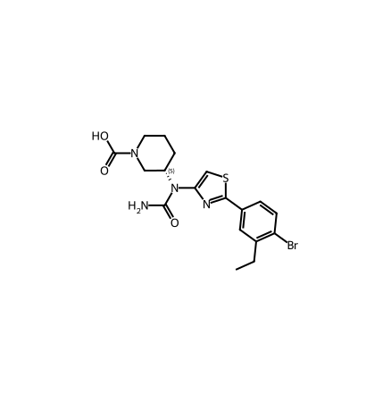 CCc1cc(-c2nc(N(C(N)=O)[C@H]3CCCN(C(=O)O)C3)cs2)ccc1Br